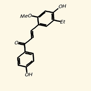 CCc1cc(/C=C/C(=O)c2ccc(O)cc2)c(OC)cc1O